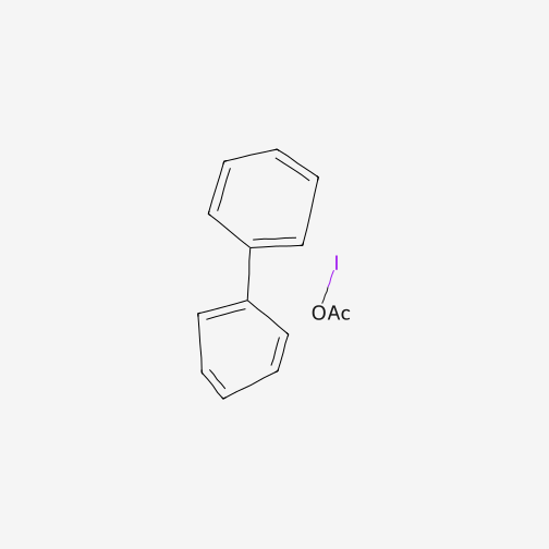 CC(=O)OI.c1ccc(-c2ccccc2)cc1